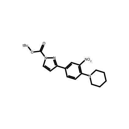 CC(C)(C)OC(=O)n1ccc(-c2ccc(N3CCCCC3)c([N+](=O)[O-])c2)n1